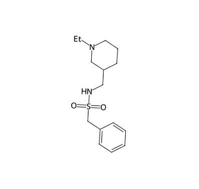 CCN1CCCC(CNS(=O)(=O)Cc2ccccc2)C1